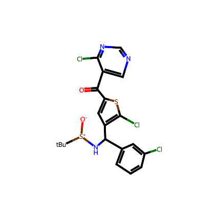 CC(C)(C)[S+]([O-])NC(c1cccc(Cl)c1)c1cc(C(=O)c2cncnc2Cl)sc1Cl